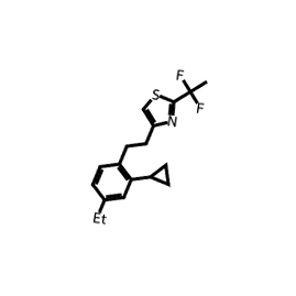 CCc1ccc(CCc2csc(C(C)(F)F)n2)c(C2CC2)c1